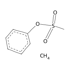 C.CS(=O)(=O)Oc1ccccc1